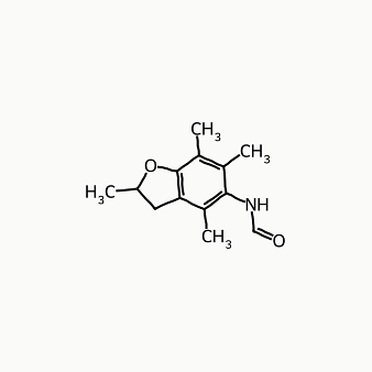 Cc1c(C)c2c(c(C)c1NC=O)CC(C)O2